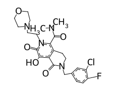 CN(C)C(=O)c1c2c(c(O)c(=O)n1CCN1CCOCC1)C(=O)N(Cc1ccc(F)c(Cl)c1)CC2